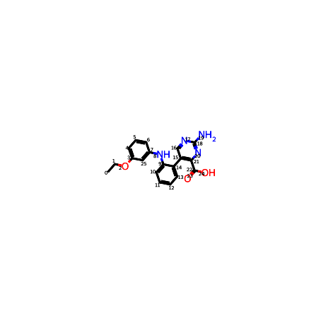 CCOc1cccc(Nc2ccccc2-c2cnc(N)nc2C(=O)O)c1